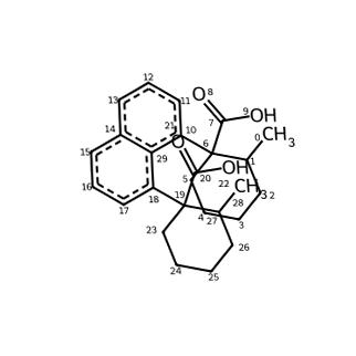 CC1CCCCC1(C(=O)O)c1cccc2cccc(C3(C(=O)O)CCCCC3C)c12